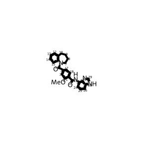 COc1cc(C(=O)N2CCCCc3ccccc32)ccc1C(=O)Nc1cccc2[nH]cnc12